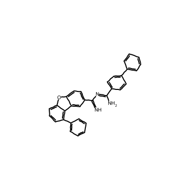 N=C(/N=C(\N)c1ccc(-c2ccccc2)cc1)c1ccc2oc3cccc(-c4ccccc4)c3c2c1